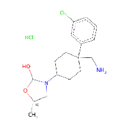 C[C@H]1CN(C2CCC(CN)(c3cccc(Cl)c3)CC2)C(O)O1.Cl